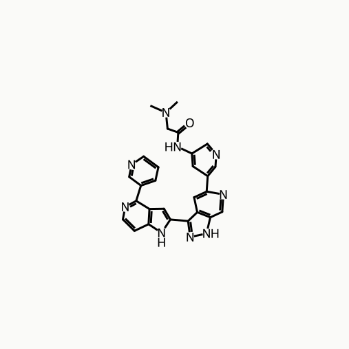 CN(C)CC(=O)Nc1cncc(-c2cc3c(-c4cc5c(-c6cccnc6)nccc5[nH]4)n[nH]c3cn2)c1